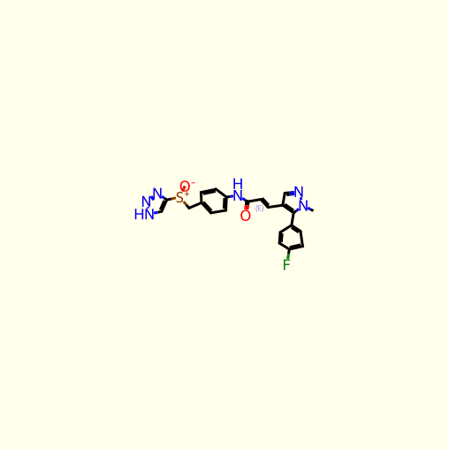 Cn1ncc(/C=C/C(=O)Nc2ccc(C[S+]([O-])c3c[nH]nn3)cc2)c1-c1ccc(F)cc1